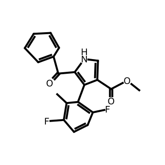 COC(=O)c1c[nH]c(C(=O)c2ccccc2)c1-c1c(F)ccc(F)c1C